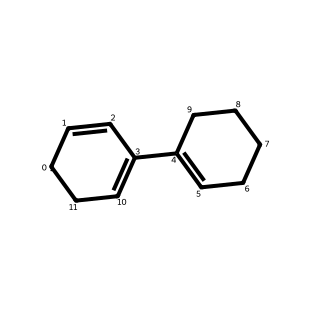 [CH]1C=CC(C2=CCCCC2)=CC1